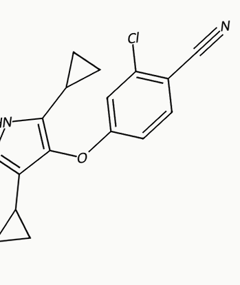 N#Cc1ccc(Oc2c(C3CC3)n[nH]c2C2CC2)cc1Cl